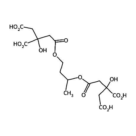 CC(CCOC(=O)CC(O)(CC(=O)O)C(=O)O)OC(=O)CC(O)(CC(=O)O)C(=O)O